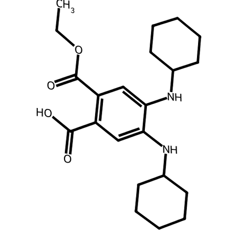 CCOC(=O)c1cc(NC2CCCCC2)c(NC2CCCCC2)cc1C(=O)O